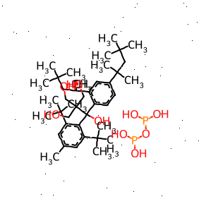 Cc1cc(C(C)(C)C)c(C(O)(c2ccc(C(C)(C)CC(C)(C)C)cc2C(C)(C)CC(C)(C)C)C(CO)(CO)CO)c(C(C)(C)C)c1.OP(O)OP(O)O